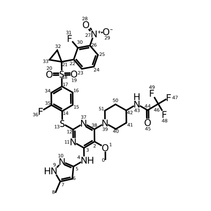 COc1c(Nc2cc(C)[nH]n2)nc(Sc2ccc(S(=O)(=O)C3(c4cccc([N+](=O)[O-])c4F)CC3)cc2F)nc1N1CCC(NC(=O)C(F)(F)F)CC1